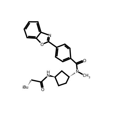 CC[C@@H](C)CC(=O)N[C@@H]1CC[C@@H](N(C)C(=O)c2ccc(-c3nc4ccccc4o3)cc2)C1